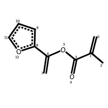 C=C(C)C(=O)OC(=C)c1ccco1